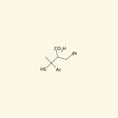 CC(=O)C(C)(S)C(CC(C)C)C(=O)O